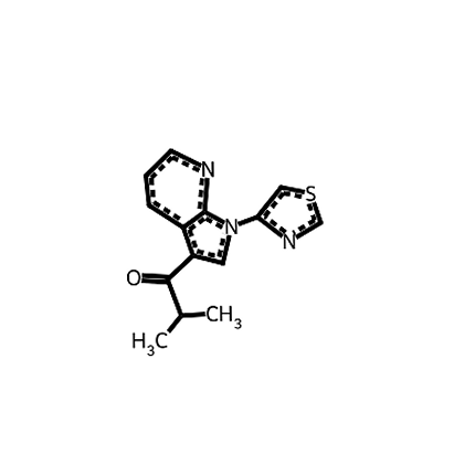 CC(C)C(=O)c1cn(-c2cscn2)c2ncccc12